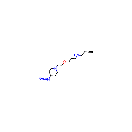 C#CCCNCCCOCCN1CCC(N=[N+]=[N-])CC1